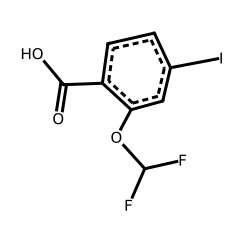 O=C(O)c1ccc(I)cc1OC(F)F